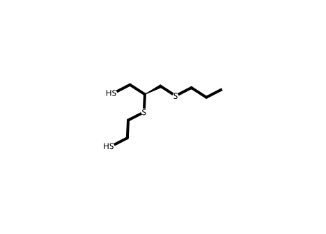 CCCSC[C@H](CS)SCCS